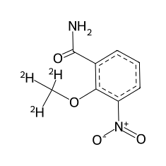 [2H]C([2H])([2H])Oc1c(C(N)=O)cccc1[N+](=O)[O-]